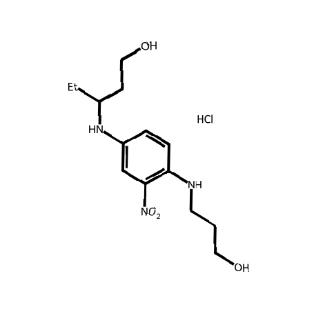 CCC(CCO)Nc1ccc(NCCCO)c([N+](=O)[O-])c1.Cl